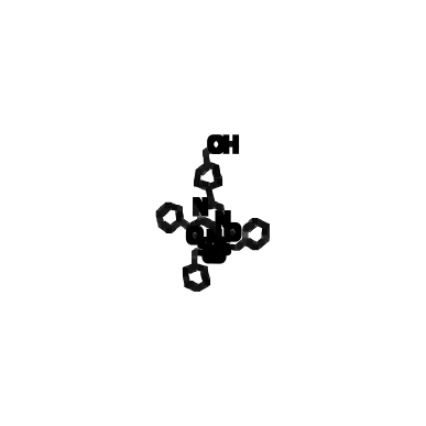 O=S(=O)(Cc1ccccc1)N(c1ncc(-c2ccc(CO)cc2)nc1Cc1ccccc1)S(=O)(=O)Cc1ccccc1